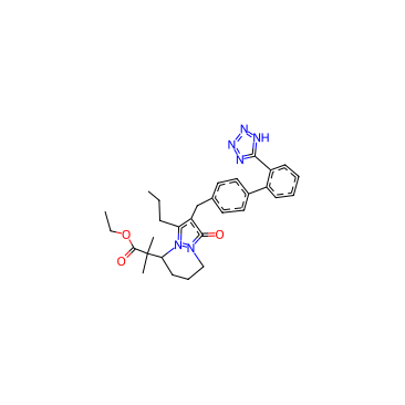 CCCc1c(Cc2ccc(-c3ccccc3-c3nnn[nH]3)cc2)c(=O)n2n1C(C(C)(C)C(=O)OCC)CCC2